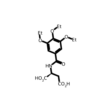 CCOc1cc(C(=O)N[C@@H](CC(=O)O)C(=O)O)cc(OCC)c1OCC